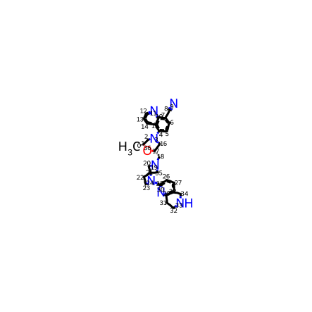 C[C@@H]1CN(c2ccc(C#N)c3ncccc23)C[C@H](CN2CC3(CCN3c3ccc4c(n3)CCNC4)C2)O1